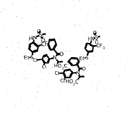 CC(C(=O)O)N(C(=O)c1ccccc1)c1ccc(Cl)c(Cl)c1.CC(C(=O)O)N(C(=O)c1ccccc1)c1ccc(Cl)c(Cl)c1.CCSc1ccc(NS(C)(=O)=O)c(C(F)(F)F)c1.CCSc1ccc(NS(C)(=O)=O)c(C(F)(F)F)c1